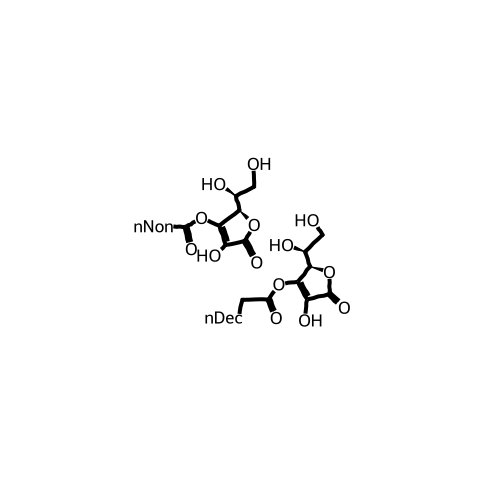 CCCCCCCCCC(=O)OC1=C(O)C(=O)O[C@@H]1[C@@H](O)CO.CCCCCCCCCCCC(=O)OC1=C(O)C(=O)O[C@@H]1[C@@H](O)CO